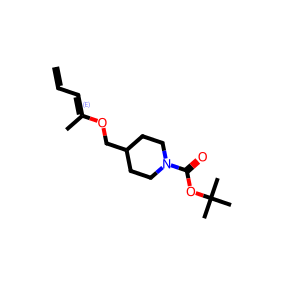 C=C/C=C(\C)OCC1CCN(C(=O)OC(C)(C)C)CC1